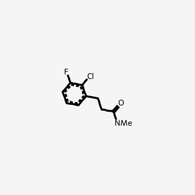 CNC(=O)CCc1cccc(F)c1Cl